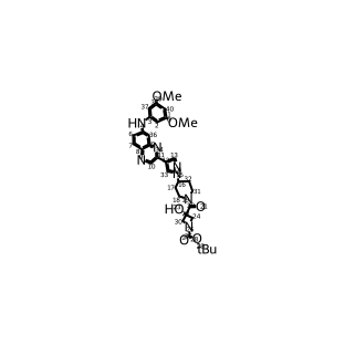 COc1cc(Nc2ccc3ncc(-c4cnn(C5CCN(C(=O)C6(O)CN(C(=O)OC(C)(C)C)C6)CC5)c4)nc3c2)cc(OC)c1